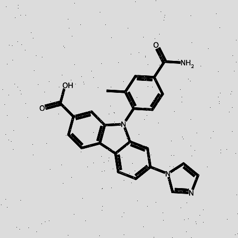 Cc1cc(C(N)=O)ccc1-n1c2cc(C(=O)O)ccc2c2ccc(-n3ccnc3)cc21